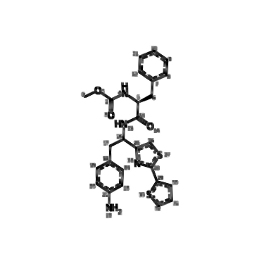 COC(=O)N[C@@H](Cc1ccccc1)C(=O)NC(Cc1ccc(N)cc1)c1csc(-c2cccs2)n1